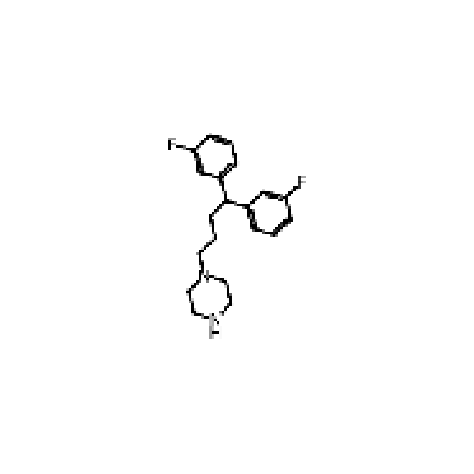 Fc1cccc(C(CCCN2CCNCC2)c2cccc(F)c2)c1